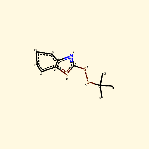 CC(C)(C)SSc1nc2ccccc2s1